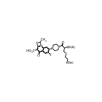 CCCCCCCCCCCCSCC(NC(C)=O)C(=O)N1CCN(c2cc3c(cc2F)c(=O)c(C(=O)O)c2n3C(C)S2)CC1